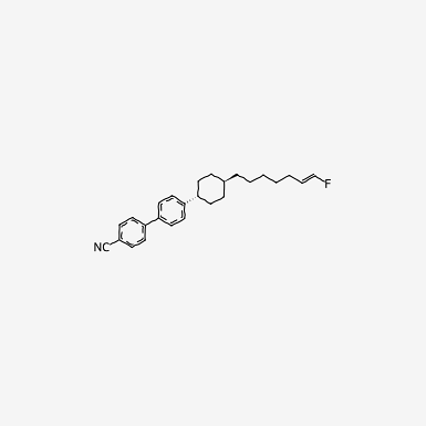 N#Cc1ccc(-c2ccc([C@H]3CC[C@H](CCCCC/C=C/F)CC3)cc2)cc1